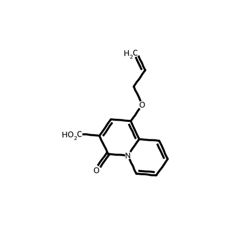 C=CCOc1cc(C(=O)O)c(=O)n2ccccc12